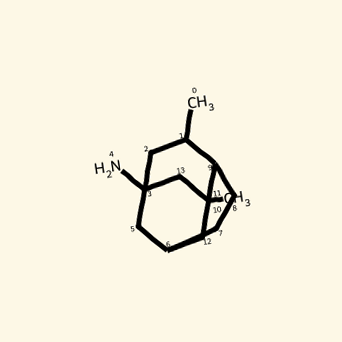 CC1CC2(N)CC3CCC1C(C)(C3)C2